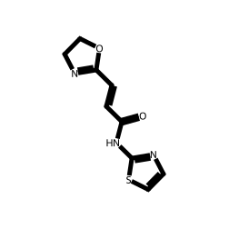 O=C(/C=C/C1=NCCO1)Nc1nccs1